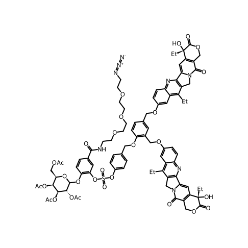 CCc1c2c(nc3ccc(OCc4ccc(OCc5ccc(OS(=O)(=O)Oc6cc(C(=O)NCCOCCOCCOCCN=[N+]=[N-])ccc6OC6O[C@H](COC(C)=O)[C@H](OC(C)=O)[C@H](OC(C)=O)[C@H]6OC(C)=O)cc5)c(COc5ccc6nc7c(c(CC)c6c5)Cn5c-7cc6c(c5=O)COC(=O)[C@]6(O)CC)c4)cc13)-c1cc3c(c(=O)n1C2)COC(=O)[C@]3(O)CC